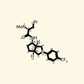 CN[C@@H](CC(C)C)C(=O)N[C@@H]1CC[C@H]2CN(c3ccc(C(F)(F)F)cc3)C[C@H]21